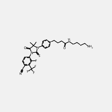 CC1(C)C(=O)N(c2ccc(C#N)c(C(F)(F)F)c2F)C(=S)N1c1ccc(CCCC(=O)NCCCCN)cc1